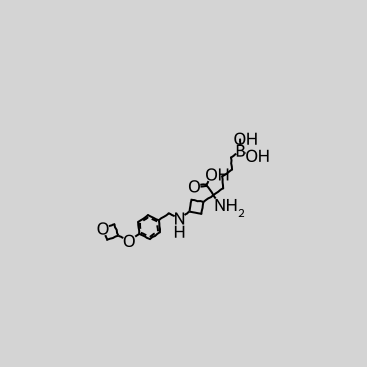 NC(CCCCB(O)O)(C(=O)O)C1CC(NCc2ccc(OC3COC3)cc2)C1